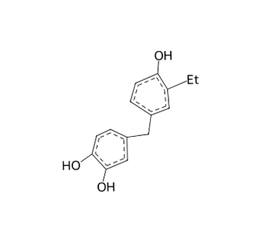 CCc1cc(Cc2ccc(O)c(O)c2)ccc1O